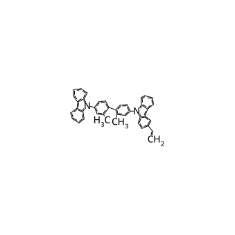 C=Cc1ccc2c(c1)c1ccccc1n2-c1ccc(-c2ccc(-n3c4ccccc4c4ccccc43)cc2C)c(C)c1